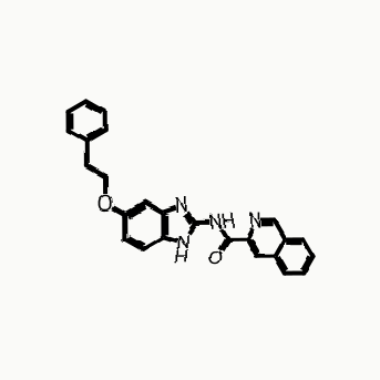 O=C(Nc1nc2cc(OCCc3ccccc3)ccc2[nH]1)c1cc2ccccc2cn1